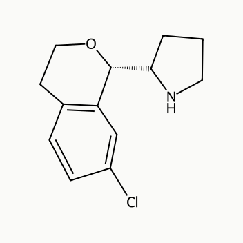 Clc1ccc2c(c1)[C@@H](C1CCCN1)OCC2